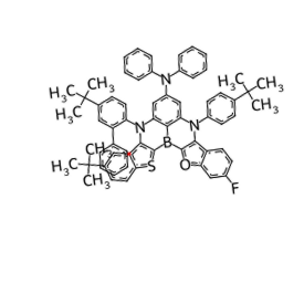 CC(C)(C)c1ccc(N2c3cc(N(c4ccccc4)c4ccccc4)cc4c3B(c3oc5cc(F)ccc5c32)c2sc3ccc(C(C)(C)C)cc3c2N4c2ccc(C(C)(C)C)cc2-c2ccccc2)cc1